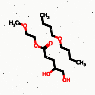 CCCCOCCCC.COCCOC(=O)CCC(O)CO